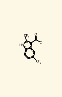 O=C(Cl)c1c(C(F)(F)F)[nH]c2ccc(C(F)(F)F)cc12